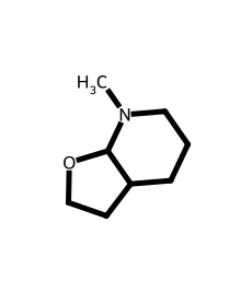 CN1CCCC2CCOC21